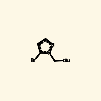 CC(C)(C)Cn1nccc1Br